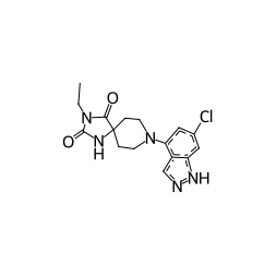 CCN1C(=O)NC2(CCN(c3cc(Cl)cc4[nH]ncc34)CC2)C1=O